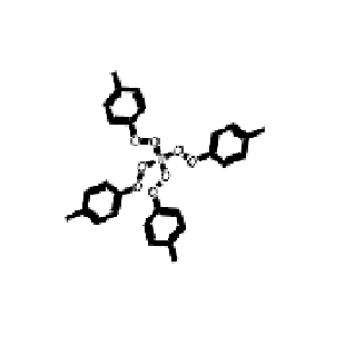 Cc1ccc(O[O][Ti]([O]Oc2ccc(C)cc2)([O]Oc2ccc(C)cc2)[O]Oc2ccc(C)cc2)cc1